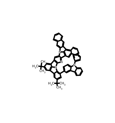 CC(C)(C)c1cc(-c2ccc3c(c2)c2ccccc2n3-c2ccccc2)c2c(c1)c1cc(C(C)(C)C)cc3c4cc5c(nc4n2c31)c1cc2ccccc2c2c3cc4ccccc4cc3n5c12